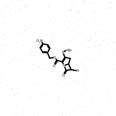 CCCCSC1=C(C(=O)OCc2ccc([N+](=O)[O-])cc2)N2C(=O)C(C(C)C)C2C1